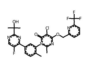 Cc1ccc(-c2nc(C(C)(C)O)ncc2F)cc1-n1c(C)nc(OCc2cccc(C(F)(F)F)n2)c(Cl)c1=O